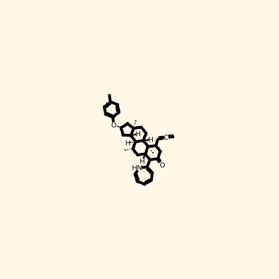 C=C=CC1CC(=O)C(C2=CC=CC=CN2)[C@@H]2C[C@H](C)[C@H]3[C@@H]4C[C@H](Oc5ccc(C)cc5)C[C@@]4(C)CC[C@@H]3[C@@]12C